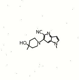 Cn1ccc2nc(C#N)c(N3CCC(C)(O)CC3)cc21